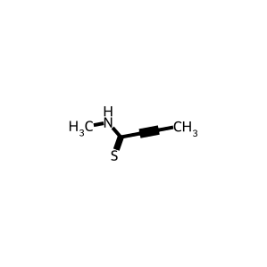 CC#CC(=S)NC